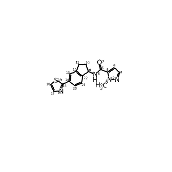 Cn1nccc1C(=O)N[C@@H]1CCc2cc(-c3nccs3)ccc21